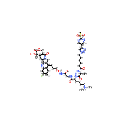 CCCN(CCC)CCCCC(NC(=O)C(NC(=O)CCCCCn1cc(-c2cnc(S(C)(=O)=O)nc2)nn1)C(C)C)C(=O)NCC(=O)NCOCCCc1c2c(nc3cc(F)c(C)cc13)-c1cc3c(c(=O)n1C2)COC(=O)[C@]3(O)CC